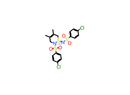 CC1=C(C)C/S(=N\S(=O)(=O)c2ccc(Cl)cc2)N(S(=O)(=O)c2ccc(Cl)cc2)C1